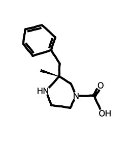 C[C@@]1(Cc2ccccc2)CN(C(=O)O)CCN1